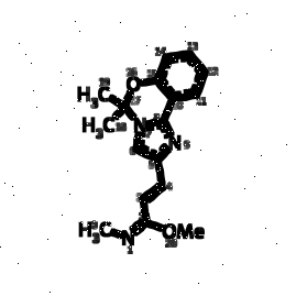 C/N=C(\C=C\c1cn2c(n1)-c1ccccc1OC2(C)C)OC